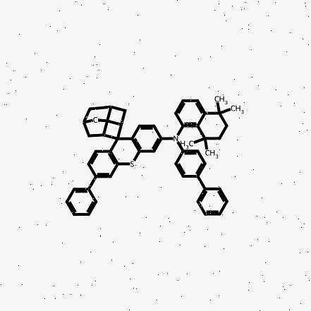 CC1(C)CCC(C)(C)c2c(N(c3ccc(-c4ccccc4)cc3)c3ccc4c(c3)Sc3cc(-c5ccccc5)ccc3C43C4CC5CC6CC3C64C5)cccc21